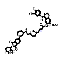 COc1cc2ncnc(Nc3ccc(F)c(Cl)c3)c2cc1NC(=O)/C=C/CN1CCC(CN[C@@H]2CCCN(c3ccc4c(c3)C(=O)N(C3CCC(=O)NC3=O)C4=O)C2)CC1